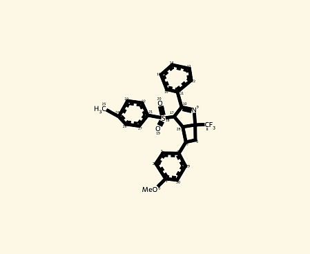 COc1ccc(C2CC3(C(F)(F)F)N=C(c4ccccc4)C(S(=O)(=O)c4ccc(C)cc4)C23)cc1